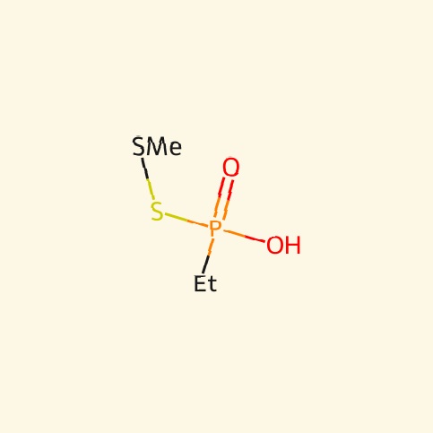 CCP(=O)(O)SSC